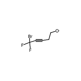 [O]CCC#CC(F)(F)Br